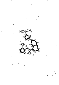 Cc1ccsc1CN(C)c1ncnc2ccc(-c3ccc(C(C)O)o3)cc12